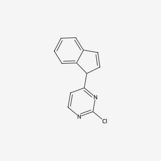 Clc1nccc(C2C=Cc3ccccc32)n1